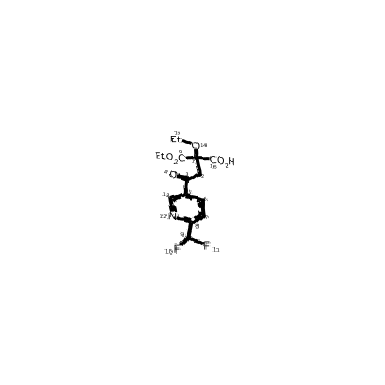 CCOC(=O)C(CC(=O)c1ccc(C(F)F)nc1)(OCC)C(=O)O